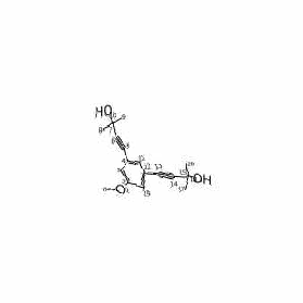 COc1cc(C#CC(C)(C)O)cc(C#CC(C)(C)O)c1